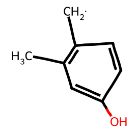 [CH2]c1ccc(O)cc1C